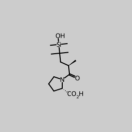 C[C@H](CC(C)(C)[Si](C)(C)O)C(=O)N1CCC[C@H]1C(=O)O